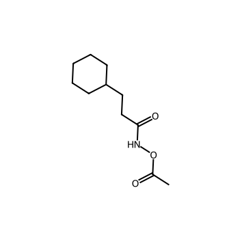 CC(=O)ONC(=O)CCC1CCCCC1